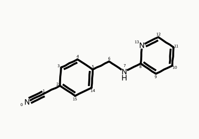 N#Cc1ccc(CNc2ccccn2)cc1